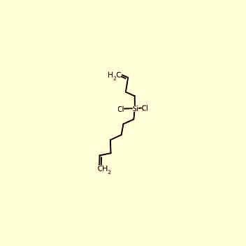 C=CCCCCC[Si](Cl)(Cl)CCC=C